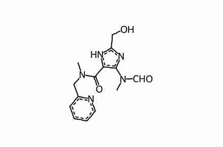 CN(Cc1ccccn1)C(=O)c1[nH]c(CO)nc1N(C)C=O